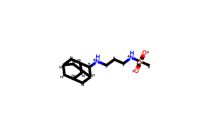 CS(=O)(=O)NCCCNC1C2CC3CC(C2)CC1C3